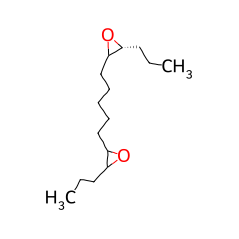 CCCC1OC1CCCCCC1O[C@@H]1CCC